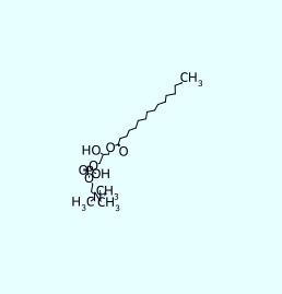 CCCCCCCCCCCCCCCC(=O)OCC(O)COP(=O)(O)OCC[N+](C)(C)C